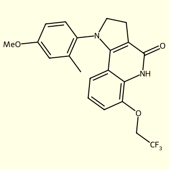 COc1ccc(N2CCc3c2c2cccc(OCC(F)(F)F)c2[nH]c3=O)c(C)c1